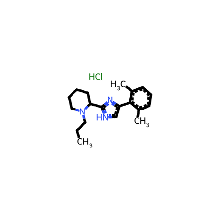 CCCN1CCCCC1c1nc(-c2c(C)cccc2C)c[nH]1.Cl